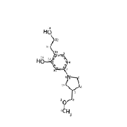 COCC1CCN(c2ccc(CCO)c(O)c2)C1